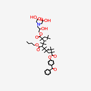 CCCCOC(=O)C(C(C)(C)C(C)C(C)(CC(C)(C)C)C(=O)OCC(O)CN(CC(=O)O)CC(=O)O)C(C)(C)C(C)(C)CC(C)(C(=O)Oc1ccc(C(=O)c2ccccc2)cc1)C(C)(C)C